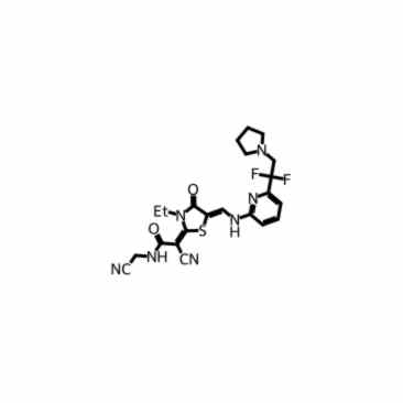 CCn1c(=C(C#N)C(=O)NCC#N)sc(=CNc2cccc(C(F)(F)CN3CCCC3)n2)c1=O